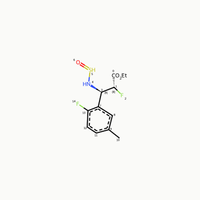 CCOC(=O)[C@H](F)[C@H](N[SH]=O)c1cc(C)ccc1F